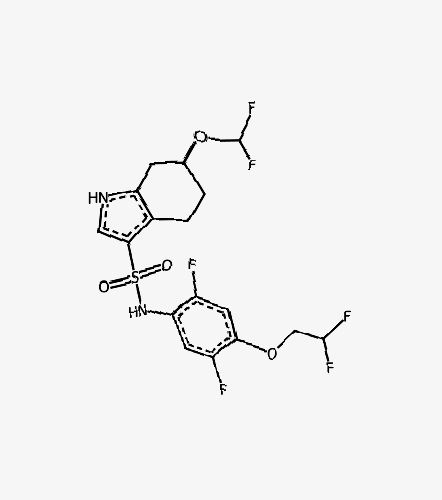 O=S(=O)(Nc1cc(F)c(OCC(F)F)cc1F)c1c[nH]c2c1CCC(OC(F)F)C2